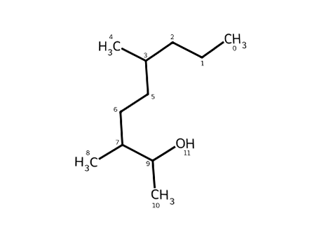 CCCC(C)CCC(C)C(C)O